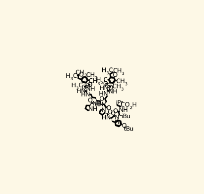 CC[C@H](C)[C@H](NC(=O)[C@H](Cc1ccc(OC(C)(C)C)cc1)NC(=O)[C@@H]1CCCN1C(=O)[C@H](CCCNC(=N)NS(=O)(=O)c1c(C)c(C)c2c(c1C)CC(C)(C)O2)NC(=O)[C@H](CCCNC(=N)NS(=O)(=O)c1c(C)c(C)c2c(c1C)CC(C)(C)O2)NC(=O)[C@@H]1CCCN1)C(=O)N[C@@H](CC(C)C)C(=O)O